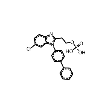 O=P(O)(O)OCCc1nc2ccc(Cl)cc2n1-c1ccc(-c2ccccc2)cc1